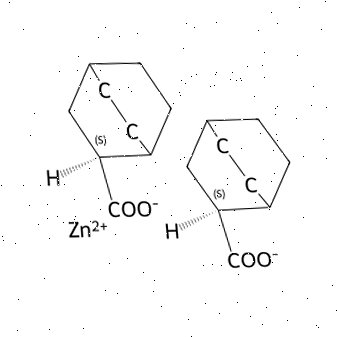 O=C([O-])[C@H]1CC2CCC1CC2.O=C([O-])[C@H]1CC2CCC1CC2.[Zn+2]